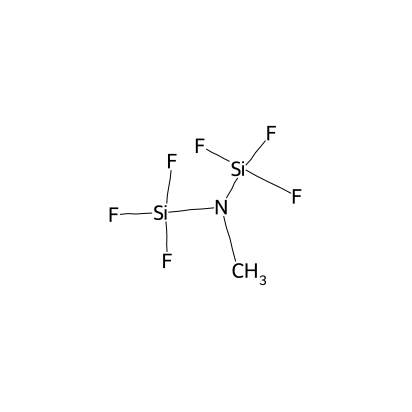 CN([Si](F)(F)F)[Si](F)(F)F